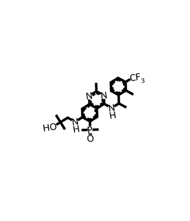 Cc1nc(NC(C)c2cccc(C(F)(F)F)c2C)c2cc(P(C)(C)=O)c(NCC(C)(C)O)cc2n1